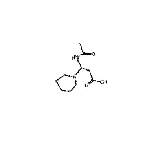 CC(=O)N[C@@H](CC(=O)O)N1CCCCC1